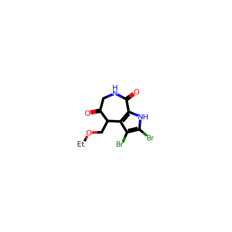 CCOCC1C(=O)CNC(=O)c2[nH]c(Br)c(Br)c21